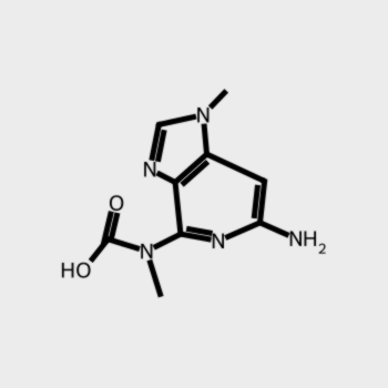 CN(C(=O)O)c1nc(N)cc2c1ncn2C